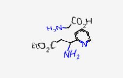 CCOC(=O)CC(N)c1ccccn1.NCC(=O)O